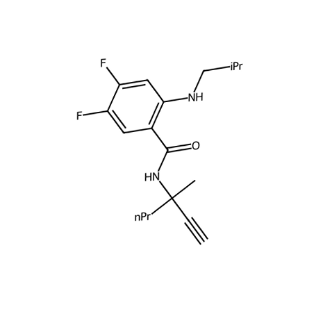 C#CC(C)(CCC)NC(=O)c1cc(F)c(F)cc1NCC(C)C